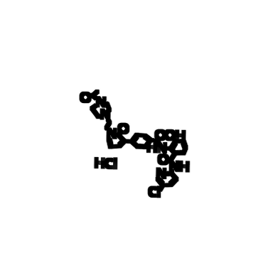 CC(=O)N1CCN(CCn2cccc(-c3ccc(C(=O)Nc4c(O)cccc4C(=O)Nc4ccc(Cl)cn4)cc3)c2=O)CC1.Cl